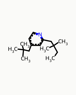 CCC(C)(C)Cc1cc(CC(C)(C)C)ccn1